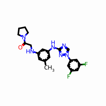 Cc1cc(NCC(=O)N2CCCC2)cc(Nc2ncn(-c3cc(F)cc(F)c3)n2)c1